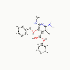 CCCNc1nc(N(C)C)c(C)c(C(=O)Oc2ccccc2)c1OCc1ccccc1